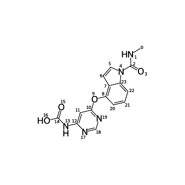 CNC(=O)n1ccc2c(Oc3cc(NC(=O)O)ncn3)cccc21